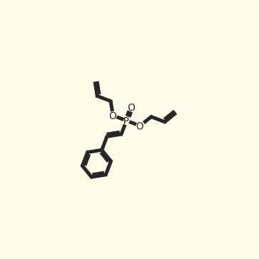 C=CCOP(=O)(C=Cc1ccccc1)OCC=C